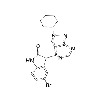 O=C1Nc2ccc(Br)cc2C1c1ncnc2nn(C3CCCCC3)cc12